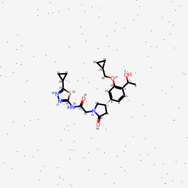 CC(O)c1ccc([C@@H]2CC(=O)N(CC(=O)Nc3nnc(C4CC4)s3)C2)cc1OCC1CC1